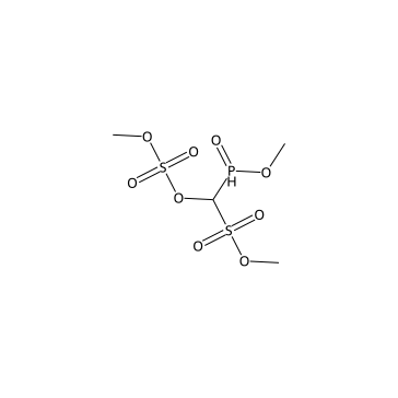 CO[PH](=O)C(OS(=O)(=O)OC)S(=O)(=O)OC